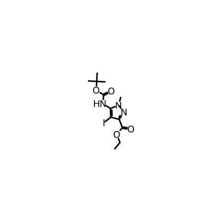 CCOC(=O)c1nn(C)c(NC(=O)OC(C)(C)C)c1I